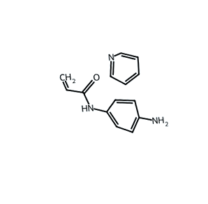 C=CC(=O)Nc1ccc(N)cc1.c1ccncc1